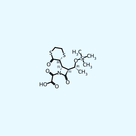 C[C@@H](O[Si](C)(C)C)[C@H]1C(=O)N(C(=O)C(=O)O)[C@@H]1[C@H]1SCCSC1=O